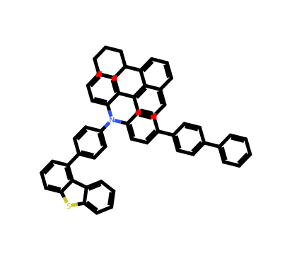 c1ccc(-c2ccc(-c3ccc(N(c4ccc(-c5cccc6sc7ccccc7c56)cc4)c4ccccc4-c4cccc5cccc(C6CCCCC6)c45)cc3)cc2)cc1